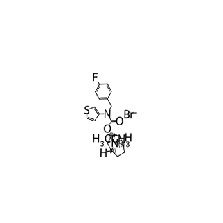 C[N+]1(C)[C@@H]2CC[C@H]1C[C@@H](OC(=O)N(Cc1ccc(F)cc1)c1ccsc1)C2.[Br-]